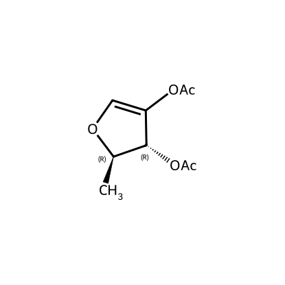 CC(=O)OC1=CO[C@H](C)[C@H]1OC(C)=O